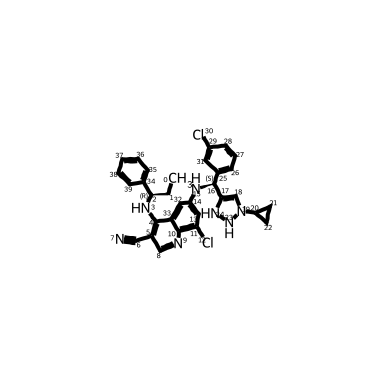 CC[C@@H](Nc1c(C#N)cnc2c(Cl)cc(N[C@H](C3=CN(C4CC4)NN3)c3cccc(Cl)c3)cc12)c1ccccc1